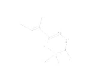 CC=C(C)C1=NCC(C)[Si](C)(C)O1